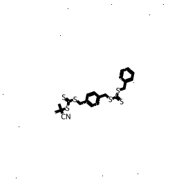 CC(C)(C#N)SC(=S)SCc1ccc(CSC(=S)SCc2ccccc2)cc1